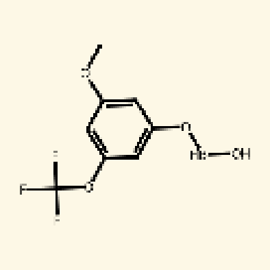 COc1cc(OBO)cc(OC(F)(F)F)c1